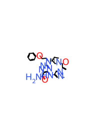 C=CC(=O)N1CC[C@@H](N(CCOc2ccccc2)c2nnc(C(N)=O)c(Nc3cnn(C)c3)n2)C1